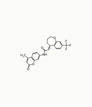 Cc1cc(=O)oc2cc(NC(=O)/C=C3\CCCOc4cc(C(F)(F)F)ccc43)ccc12